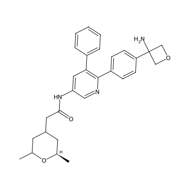 CC1CC(CC(=O)Nc2cnc(-c3ccc(C4(N)COC4)cc3)c(-c3ccccc3)c2)C[C@@H](C)O1